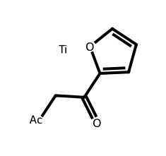 CC(=O)CC(=O)c1ccco1.[Ti]